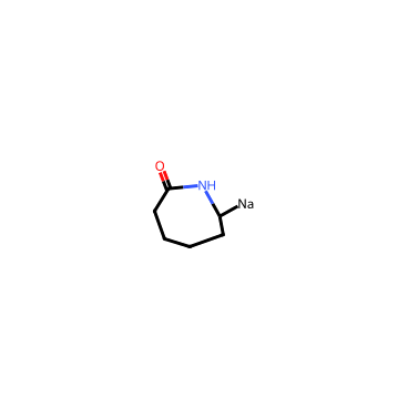 O=C1CCCC[CH]([Na])N1